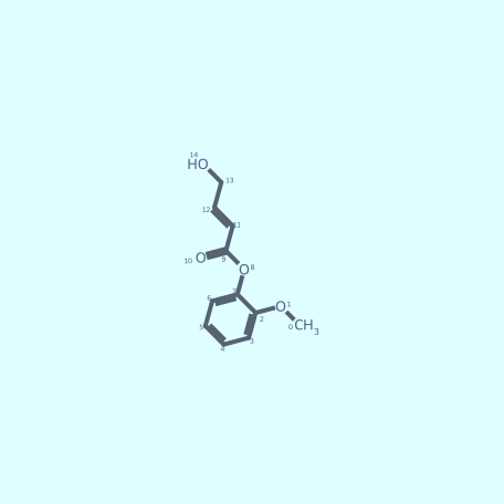 COc1ccccc1OC(=O)C=CCO